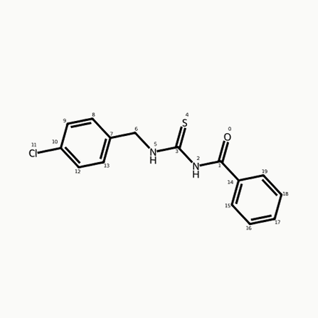 O=C(NC(=S)NCc1ccc(Cl)cc1)c1ccccc1